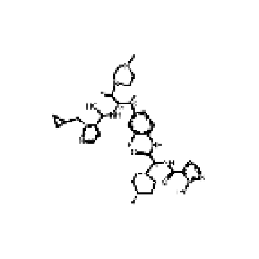 CC(C)n1nccc1C(=O)N[C@H](C(=O)Nc1ccc([C@H](C)[C@@H](NC(O)c2ccnn2CC2CC2)C(=O)N2CCN(C)CC2)cc1F)[C@H]1CC[C@H](C)CC1